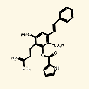 C=C(C)CCc1c(OC)cc(/C=C/c2ccccc2)c(C(=O)O)c1OC(=O)c1ccc[nH]1